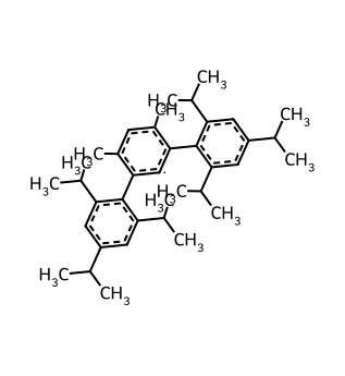 Cc1cc(C)c(-c2c(C(C)C)cc(C(C)C)cc2C(C)C)[c]c1-c1c(C(C)C)cc(C(C)C)cc1C(C)C